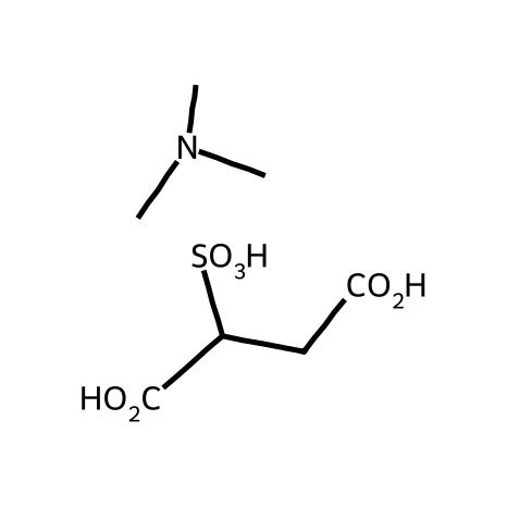 CN(C)C.O=C(O)CC(C(=O)O)S(=O)(=O)O